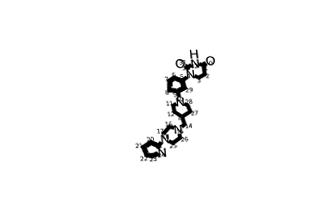 O=C1CCN(c2cccc(N3CCC(CN4CCN(c5ccccn5)CC4)CC3)c2)C(=O)N1